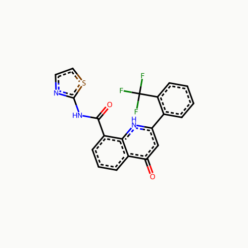 O=C(Nc1nccs1)c1cccc2c(=O)cc(-c3ccccc3C(F)(F)F)[nH]c12